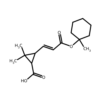 CC1(OC(=O)C=CC2C(C(=O)O)C2(C)C)CCCCC1